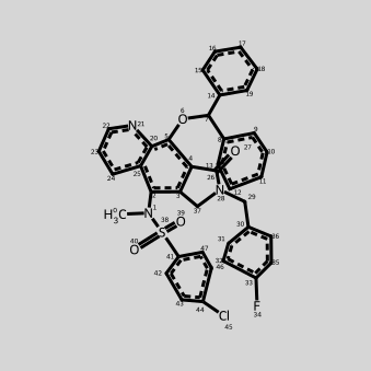 CN(c1c2c(c(OC(c3ccccc3)c3ccccc3)c3ncccc13)C(=O)N(Cc1ccc(F)cc1)C2)S(=O)(=O)c1ccc(Cl)cc1